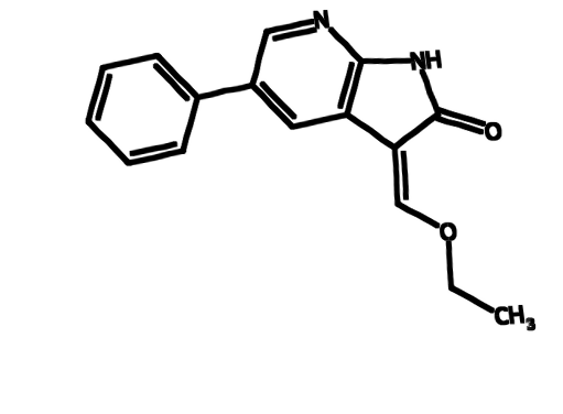 CCOC=C1C(=O)Nc2ncc(-c3ccccc3)cc21